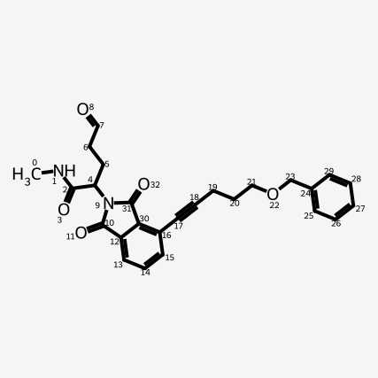 CNC(=O)C(CCC=O)N1C(=O)c2cccc(C#CCCCOCc3ccccc3)c2C1=O